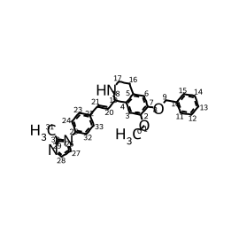 COc1cc2c(cc1OCc1ccccc1)CCNC2C=Cc1ccc(-n2ccnc2C)cc1